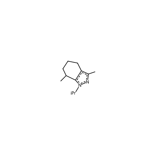 Cc1nn(C(C)C)c2c1CCCC2C